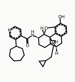 O=C(N[C@@H]1CC[C@@]2(O)[C@H]3Cc4ccc(O)c5c4[C@@]2(CCN3CC2CC2)[C@H]1O5)c1ccncc1C1CCCCCC1